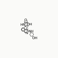 O=C(N[C@H]1COC[C@@H]1O)c1cccc2cnc(N[C@H]3CC[C@H](O)CC3)nc12